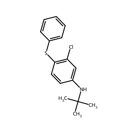 CC(C)(C)Nc1ccc(Sc2ccccc2)c(Cl)c1